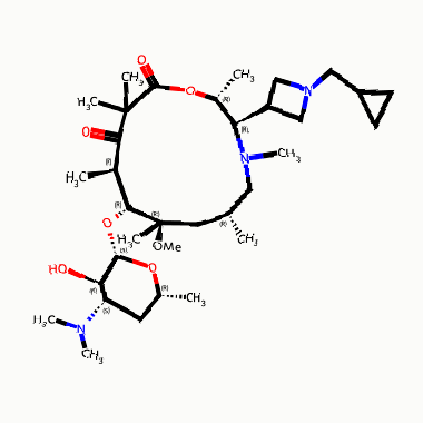 CO[C@]1(C)C[C@@H](C)CN(C)[C@H](C2CN(CC3CC3)C2)[C@@H](C)OC(=O)C(C)(C)C(=O)[C@H](C)[C@H]1O[C@@H]1O[C@H](C)C[C@H](N(C)C)[C@H]1O